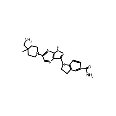 CC1(CN)CCN(c2cnc3c(N4CCc5cc(C(N)=O)ccc54)n[nH]c3n2)CC1